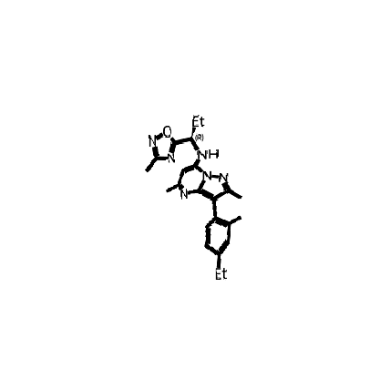 CCc1ccc(-c2c(C)nn3c(N[C@H](CC)c4nc(C)no4)cc(C)nc23)c(C)c1